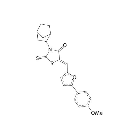 COc1ccc(-c2ccc(/C=C3\SC(=S)N(C4CC5CCC4C5)C3=O)o2)cc1